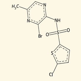 Cc1cnc(NS(=O)(=O)c2ccc(Cl)s2)c(Br)n1